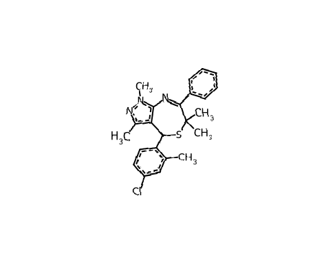 Cc1cc(Cl)ccc1C1SC(C)(C)C(c2ccccc2)=Nc2c1c(C)nn2C